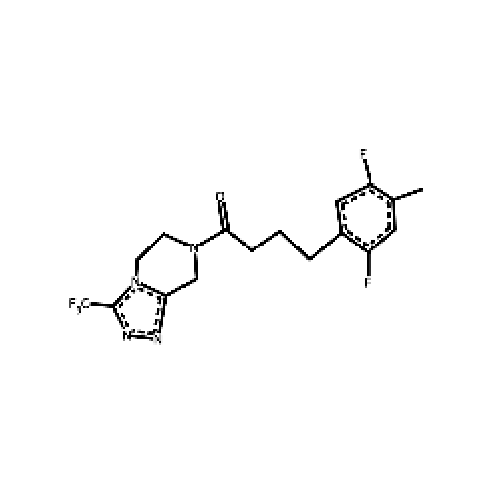 Cc1cc(F)c(CCCC(=O)N2CCn3c(nnc3C(F)(F)F)C2)cc1F